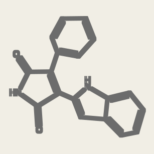 O=C1NC(=O)C(c2cc3ccccc3[nH]2)=C1c1ccccc1